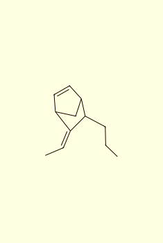 CC=C1C2C=CC(C2)C1CCC